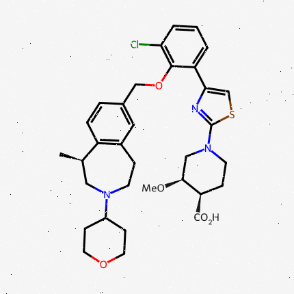 CO[C@H]1CN(c2nc(-c3cccc(Cl)c3OCc3ccc4c(c3)CCN(C3CCOCC3)C[C@H]4C)cs2)CC[C@H]1C(=O)O